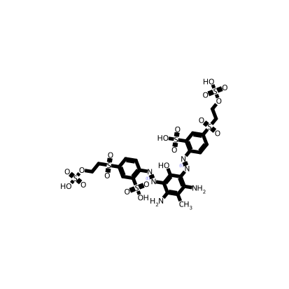 Cc1c(N)c(/N=N/c2ccc(S(=O)(=O)CCOS(=O)(=O)O)cc2S(=O)(=O)O)c(O)c(/N=N/c2ccc(S(=O)(=O)CCOS(=O)(=O)O)cc2S(=O)(=O)O)c1N